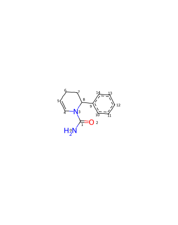 NC(=O)N1C=CCCC1c1ccccc1